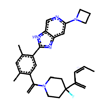 C=C(c1cc(-c2nc3cc(N4CCC4)ncc3[nH]2)c(C)cc1C)N1CCC(F)(C(=C)/C=C\C)CC1